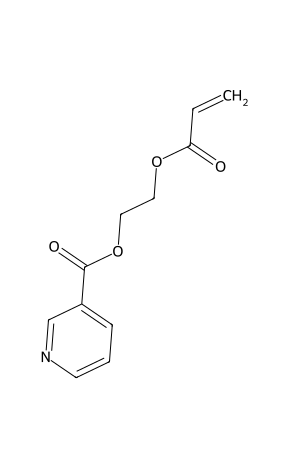 C=CC(=O)OCCOC(=O)c1cccnc1